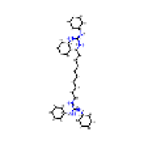 C(CCCCCNC(=NC1CCCCC1)NC1CCCCC1)CCCCNC(=NC1CCCCC1)NC1CCCCC1